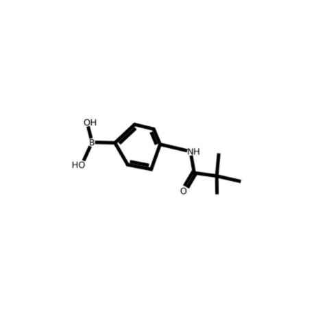 CC(C)(C)C(=O)Nc1ccc(B(O)O)cc1